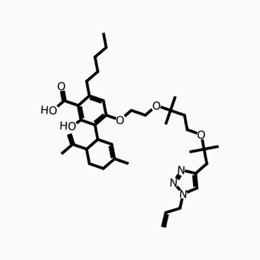 C=CCn1cc(CC(C)(C)OCCC(C)(C)OCCOc2cc(CCCCC)c(C(=O)O)c(O)c2C2C=C(C)CCC2C(=C)C)nn1